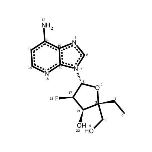 CC[C@]1(CO)O[C@@H](n2cnc3c(N)ccnc32)[C@H](F)[C@@H]1O